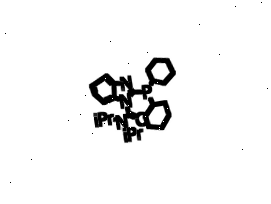 CC(C)N(C(=O)n1c(P(C2CCCCC2)C2CCCCC2)nc2ccccc21)C(C)C